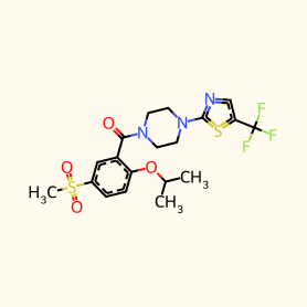 CC(C)Oc1ccc(S(C)(=O)=O)cc1C(=O)N1CCN(c2ncc(C(F)(F)F)s2)CC1